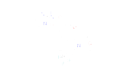 O=S(=O)(Nc1ncccn1)c1ccc2c(c1)OCC[C@@H]2c1ccc(C(F)(F)F)cc1N1CCOCC1